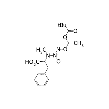 CC(O/N=[N+](\[O-])N(C)[C@@H](Cc1ccccc1)C(=O)O)OC(=O)C(C)(C)C